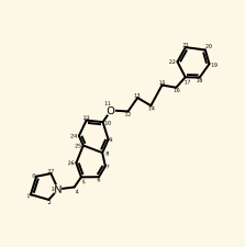 C1=CCN(Cc2ccc3cc(OCCCCCc4ccccc4)ccc3c2)C1